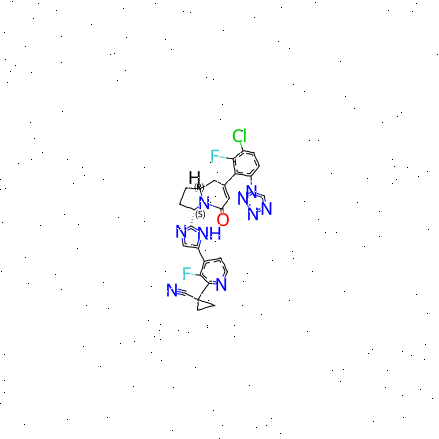 N#CC1(c2nccc(-c3cnc([C@@H]4CC[C@@H]5CC(c6c(-n7cnnn7)ccc(Cl)c6F)=CC(=O)N54)[nH]3)c2F)CC1